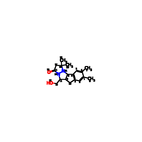 Cc1cc2c(cc1C)C1C(C2)C(CO)N2C(=O)CC(C)(C)N12